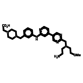 COCCN(CCN)Cc1ncc(-c2ccnc(Nc3cccc(CN4CCN(CC(=O)O)CC4)c3)c2)cn1